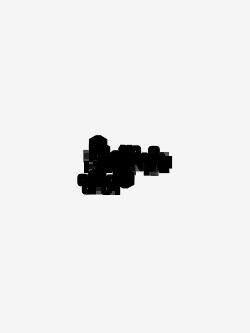 CC(C)[C@H](NC(=O)[C@@H](N)CNC(=O)c1nnn[nH]1)C(=O)N[C@@H](CC1CCCCC1)C(=O)N[C@@H](Cc1ccccc1)[C@@H](O)C(=O)Nc1cc(C(=O)O)cc(C(=O)O)c1